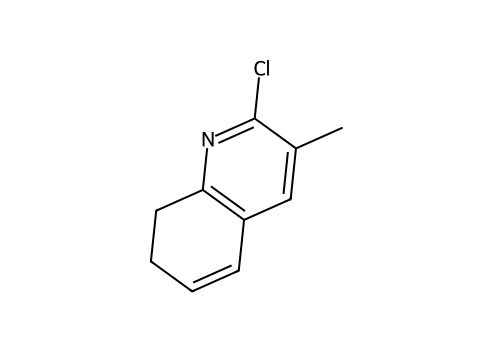 Cc1cc2c(nc1Cl)CCC=C2